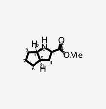 COC(=O)C1C[C@H]2CCC[C@H]2N1